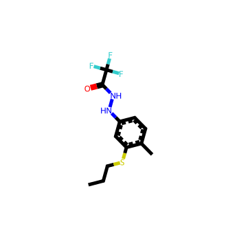 CCCSc1cc(NNC(=O)C(F)(F)F)ccc1C